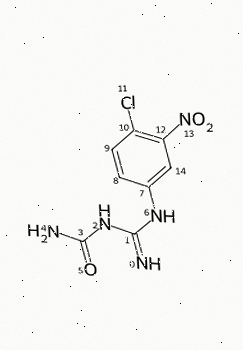 N=C(NC(N)=O)Nc1ccc(Cl)c([N+](=O)[O-])c1